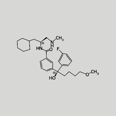 CNC[C@H](CC1CCCCC1)NC(=O)c1cccc([C@@](O)(CCCCOC)c2cccc(F)c2)c1